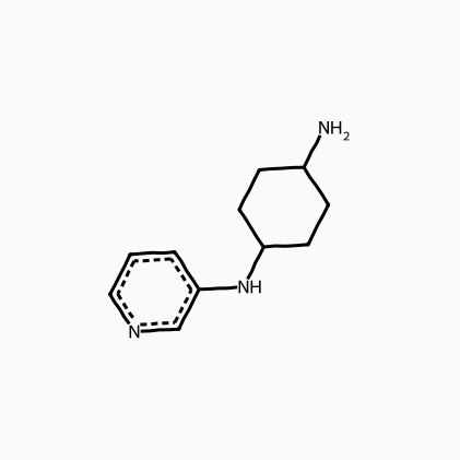 NC1CCC(Nc2cccnc2)CC1